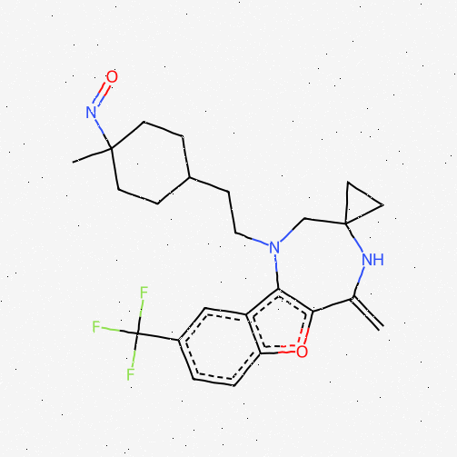 C=C1NC2(CC2)CN(CCC2CCC(C)(N=O)CC2)c2c1oc1ccc(C(F)(F)F)cc21